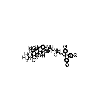 COc1ccc([PH](CCCCC(=O)NCCC(=O)Nc2ccc3c(c2O)C(=O)C2=C(O)[C@]4(O)C(=O)C(C(N)=O)=C(O)[C@@H](N(C)C)[C@@H]4[C@@H](O)[C@@H]2[C@H]3C)(c2ccc(OC)cc2)c2ccc(OC)cc2)cc1